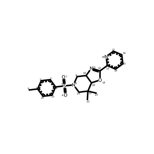 Cc1ccc(S(=O)(=O)N2CC3N=C(c4ccccn4)OC3C(C)(C)C2)cc1